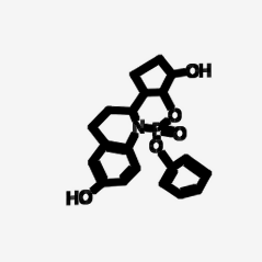 O=P1(Oc2ccccc2)OC2C(O)CCC2C2CCc3cc(O)ccc3N21